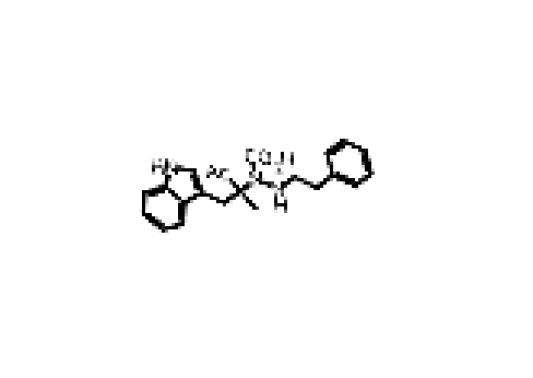 CC(=O)C(C)(Cc1c[nH]c2ccccc12)N(NCCc1ccccc1)C(=O)O